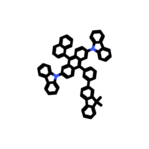 CC1(C)c2ccccc2-c2ccc(-c3cccc(-c4c5cc(-n6c7ccccc7c7ccccc76)ccc5c(-c5cccc6ccccc56)c5cc(-n6c7ccccc7c7ccccc76)ccc45)c3)cc21